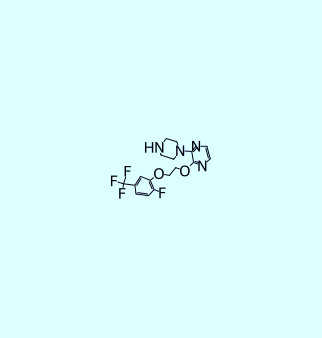 Fc1ccc(C(F)(F)F)cc1OCCOc1nccnc1N1CCNCC1